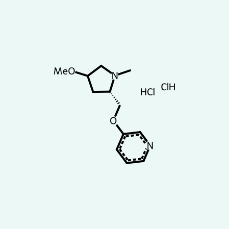 COC1C[C@@H](COc2cccnc2)N(C)C1.Cl.Cl